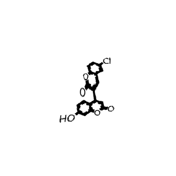 O=c1cc(-c2cc3cc(Cl)ccc3oc2=O)c2ccc(O)cc2o1